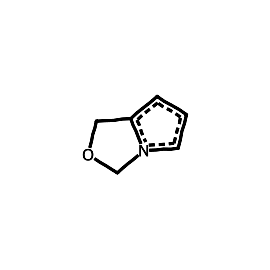 c1cc2n(c1)COC2